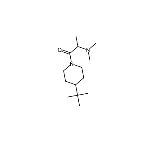 CC(C(=O)N1CCC(C(C)(C)C)CC1)N(C)C